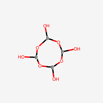 OB1OB(O)OB(O)OB(O)O1